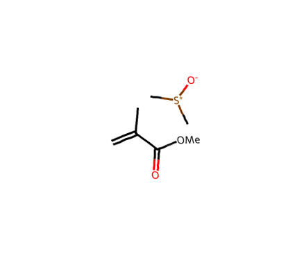 C=C(C)C(=O)OC.C[S+](C)[O-]